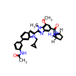 COc1cc(C(=O)N2C[C@H]3CC[C@@H]2[C@@H]3N)cc2nc(-c3cc4ccc(-c5cccc(NC(C)=O)c5)cc4n3CC3CC3)n(C)c12